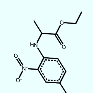 CCOC(=O)C(C)Nc1ccc(F)cc1[N+](=O)[O-]